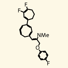 CN\C(=C/C1=C/C=C(/C2=CC(F)=C(F)CCC2)C=C=CC1)COc1ccc(F)cc1